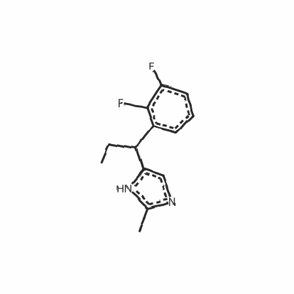 CCC(c1cnc(C)[nH]1)c1cccc(F)c1F